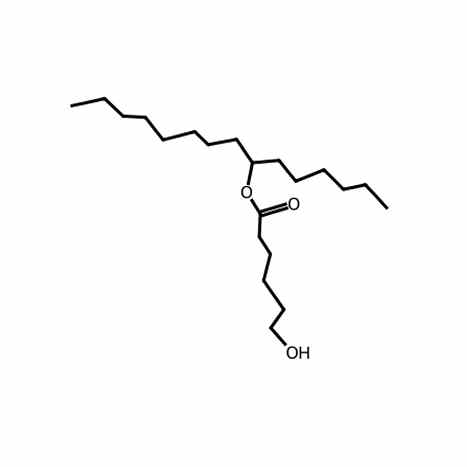 CCCCCCCCC(CCCCCC)OC(=O)CCCCCO